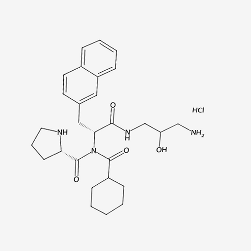 Cl.NCC(O)CNC(=O)[C@@H](Cc1ccc2ccccc2c1)N(C(=O)C1CCCCC1)C(=O)[C@@H]1CCCN1